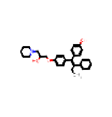 CCC(=C(c1ccc(O)cc1)c1ccc(OCC(O)CN2CCCCC2)cc1)c1ccccc1